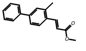 COC(=O)/C=C/c1ccc(-c2ccccc2)cc1C